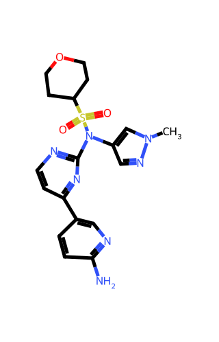 Cn1cc(N(c2nccc(-c3ccc(N)nc3)n2)S(=O)(=O)C2CCOCC2)cn1